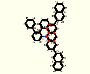 c1ccc(-c2ccccc2-c2c(-c3ccccc3)cccc2N(c2ccc(-c3ccc4ccccc4c3)cc2)c2ccc(-c3ccc4ccccc4c3)cc2)cc1